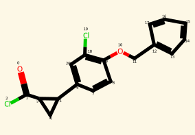 O=C(Cl)C1CC1c1ccc(OCc2ccccc2)c(Cl)c1